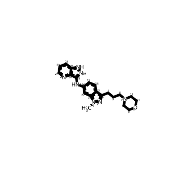 Cn1nc(CCCN2CCOCC2)c2ccc(Nc3n[nH]c4cccnc34)cc21